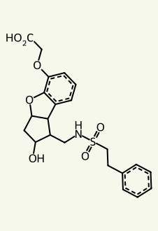 O=C(O)COc1cccc2c1OC1CC(O)C(CNS(=O)(=O)CCc3ccccc3)C21